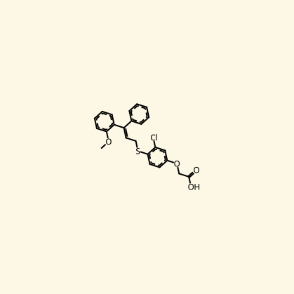 COc1ccccc1C(=CCSc1ccc(OCC(=O)O)cc1Cl)c1ccccc1